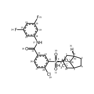 C[C@@]1(O)C2CC[C@H]1C[C@H](S(=O)(=O)c1cc(C(=O)Nc3cc(F)cc(F)c3)ccc1Cl)C2